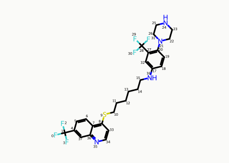 FC(F)(F)c1ccc2c(SCCCCCCNc3ccc(N4CCNCC4)c(C(F)(F)F)c3)ccnc2c1